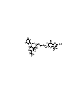 CS(=O)(=O)c1cc(OCCCN(CCc2ccccc2)Cc2cccc(C(F)(F)F)c2)cc(F)c1CCO